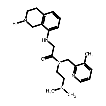 CCN1CCc2cccc(NCC(=O)N(CCN(C)C)Cc3ncccc3C)c2C1